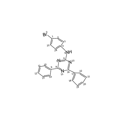 Brc1ccc(Nc2nc(-c3ccccc3)nc(-c3ccccc3)n2)cc1